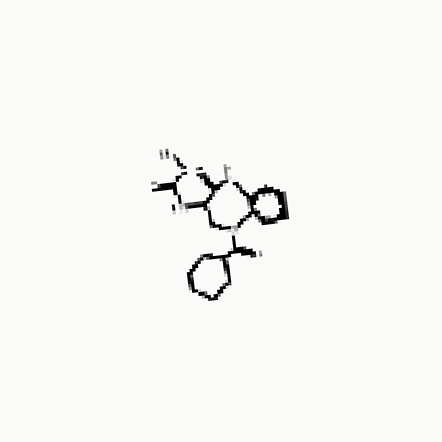 CC(C)(C)OC(=O)NC1CN(C(=O)C2CCCCC2)c2ccccc2NC1=O